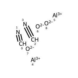 C#N.C#N.[Al+3].[Al+3].[O-2].[O-2].[O-2]